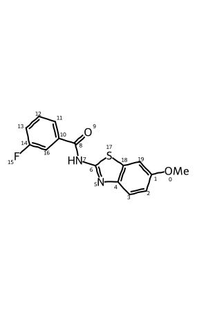 COc1ccc2nc(NC(=O)c3cccc(F)c3)sc2c1